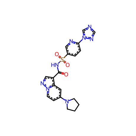 O=C(NS(=O)(=O)c1ccc(-n2cncn2)nc1)c1cnn2ccc(N3CCCC3)cc12